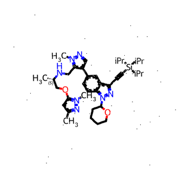 Cc1cc(OC[C@H](C)NCc2c(-c3ccc4c(c3)c(C#C[Si](C(C)C)(C(C)C)C(C)C)nn4C3CCCCO3)cnn2C)n(C)n1